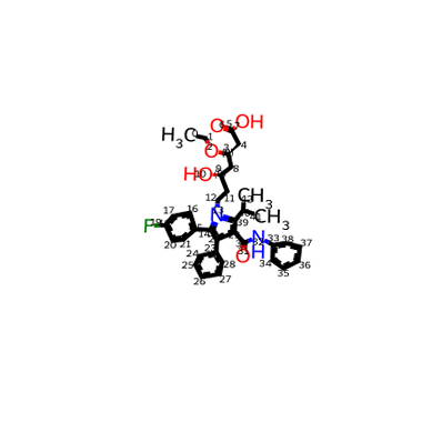 CCO[C@@H](CC(=O)O)C[C@H](O)CCn1c(-c2ccc(F)cc2)c(-c2ccccc2)c(C(=O)Nc2ccccc2)c1C(C)C